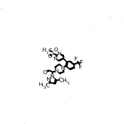 Cc1cc(C)n(C(C=O)N2CCN(c3ccc(C(F)(F)F)cc3-c3cnc(S(C)(=O)=O)nc3)CC2)n1